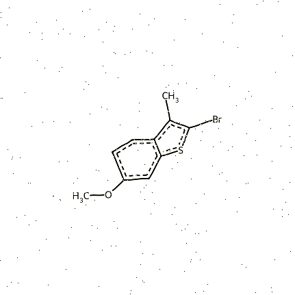 COc1ccc2c(C)c(Br)sc2c1